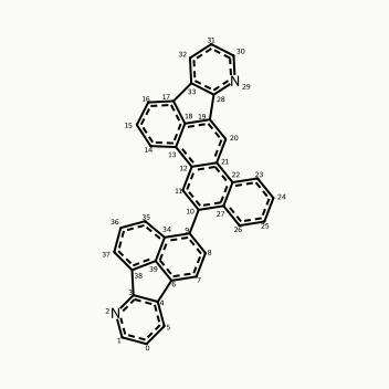 c1cnc2c(c1)-c1ccc(-c3cc4c5cccc6c5c(cc4c4ccccc34)-c3ncccc3-6)c3cccc-2c13